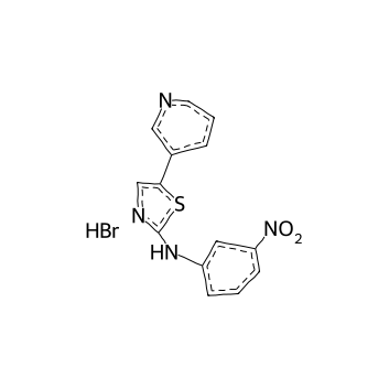 Br.O=[N+]([O-])c1cccc(Nc2ncc(-c3cccnc3)s2)c1